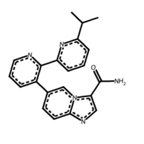 CC(C)c1cccc(-c2ncccc2-c2ccc3ncc(C(N)=O)n3c2)n1